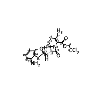 CC1=C(C(=O)OCC(Cl)(Cl)Cl)N2C(=O)[C@H](NC(=O)Cc3ccccc3N)[C@H]2SC1